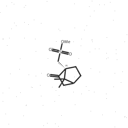 COS(=O)(=O)C[C@@]12CCC(CC1=O)C2(C)C